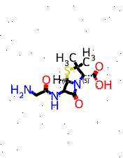 CC1(C)S[C@@H]2C(NC(=O)CN)C(=O)N2[C@H]1C(=O)O